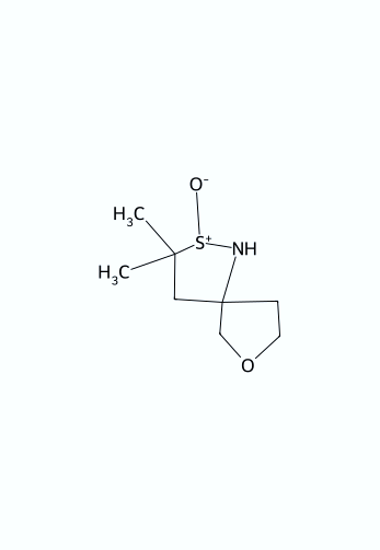 CC1(C)CC2(CCOC2)N[S+]1[O-]